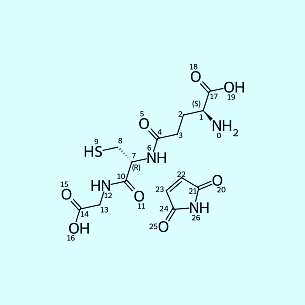 N[C@@H](CCC(=O)N[C@@H](CS)C(=O)NCC(=O)O)C(=O)O.O=C1C=CC(=O)N1